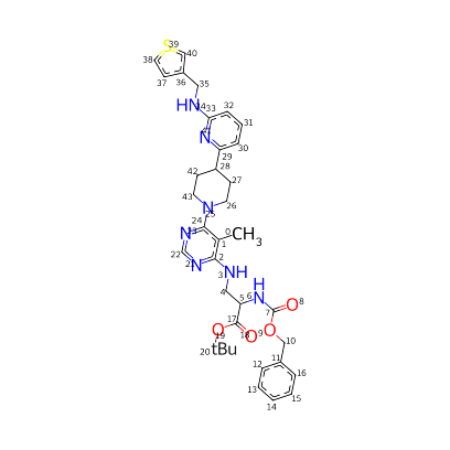 Cc1c(NCC(NC(=O)OCc2ccccc2)C(=O)OC(C)(C)C)ncnc1N1CCC(c2cccc(NCc3ccsc3)n2)CC1